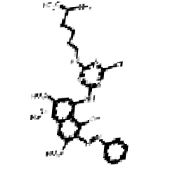 NC(CCCCNc1nc(Cl)nc(Nc2cc(S(=O)(=O)O)cc3cc(S(=O)(=O)O)c(N=Nc4ccccc4)c(O)c23)n1)C(=O)O.[Na].[Na]